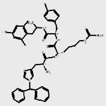 CCCCCCCC(=O)NCCCC[C@H](NC(=O)[C@@H](N)Cc1cn(C(c2ccccc2)c2ccccc2)cn1)C(=O)N[C@H](Cc1ccc(C)cc1)C(=O)NC(Cc1c(C)cc(O)cc1C)C(=O)O